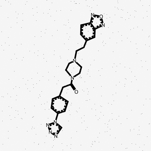 O=C(Cc1ccc(-n2cnnn2)cc1)N1CCN(CCc2ccc3nonc3c2)CC1